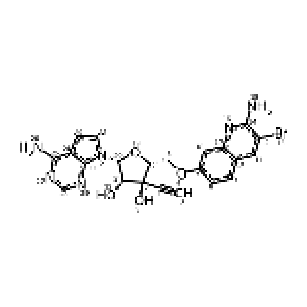 C#C[C@@]1(O)[C@@H](COc2ccc3cc(Br)c(N)nc3c2)O[C@@H](n2ccc3c(N)ncnc32)[C@@H]1O